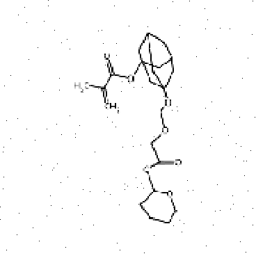 C=C(C)C(=O)OC12CC3CC(CC(OCOCC(=O)OC4CCCCO4)(C3)C1)C2